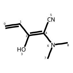 C=C/C(O)=C(\C#N)N(C)C